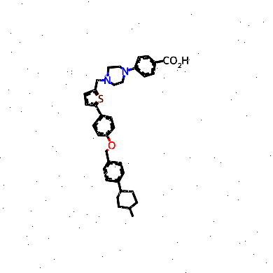 CC1CCC(c2ccc(COc3ccc(-c4ccc(CN5CCN(c6ccc(C(=O)O)cc6)CC5)s4)cc3)cc2)CC1